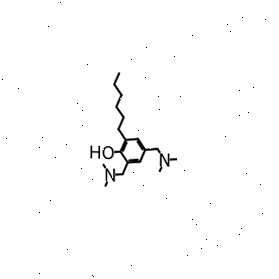 CCCCCCc1cc(CN(C)C)cc(CN(C)C)c1O